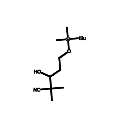 CC(C)(C#N)C(O)CCO[Si](C)(C)C(C)(C)C